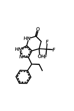 CCC(c1ccccc1)c1n[nH]c2c1C(O)(C(F)(F)F)CC(=O)N2